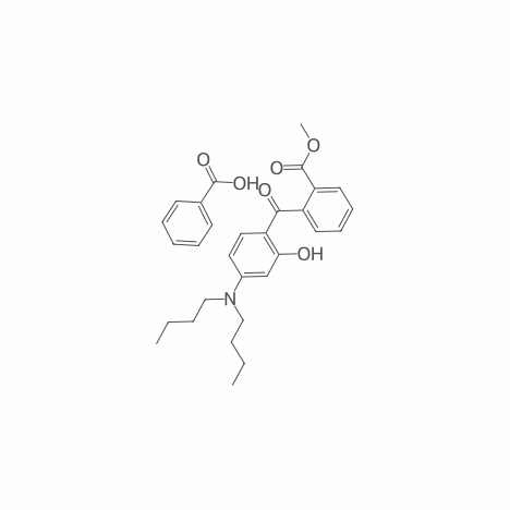 CCCCN(CCCC)c1ccc(C(=O)c2ccccc2C(=O)OC)c(O)c1.O=C(O)c1ccccc1